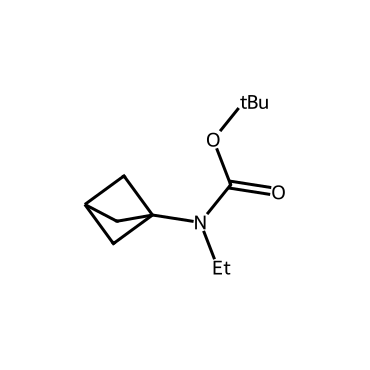 CCN(C(=O)OC(C)(C)C)C12CC(C1)C2